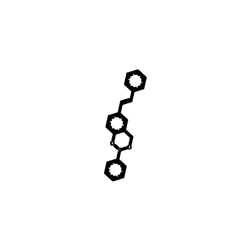 C(=Cc1ccc2c(c1)COB(c1ccccc1)O2)c1ccccc1